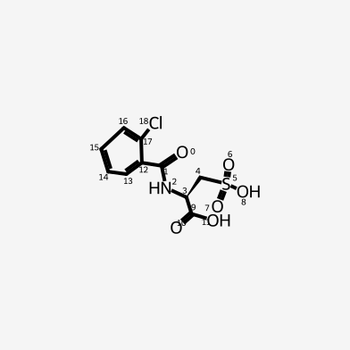 O=C(N[C@@H](CS(=O)(=O)O)C(=O)O)c1ccccc1Cl